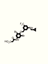 O=C(O)CC(=O)Nc1cc(Br)c(OCc2cc(NCC3CC3)cc(C(F)(F)F)c2)c(Br)c1